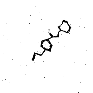 C=CCc1ccc(C(=O)CC2CCCCC2)cc1